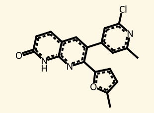 Cc1cc(-c2cc3ccc(=O)[nH]c3nc2-c2ccc(C)o2)cc(Cl)n1